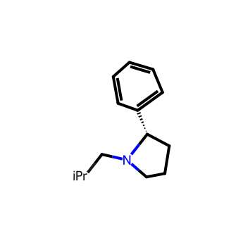 CC(C)CN1CCC[C@H]1c1ccccc1